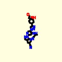 CC(C#N)Nc1cc(-n2ncc3cc(C#N)cnc32)ncc1-n1cc(C2CCC(O)(CC=O)CC2)nn1